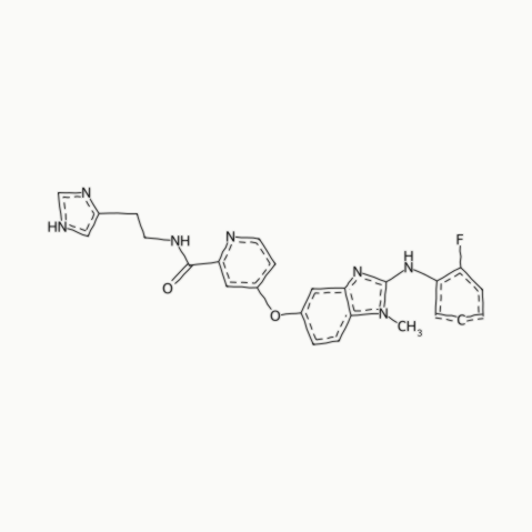 Cn1c(Nc2ccccc2F)nc2cc(Oc3ccnc(C(=O)NCCc4c[nH]cn4)c3)ccc21